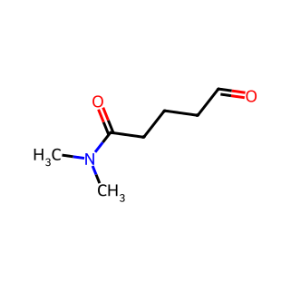 CN(C)C(=O)CCCC=O